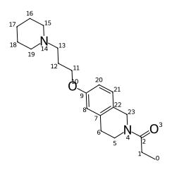 CCC(=O)N1CCc2cc(OCCCN3CCCCC3)ccc2C1